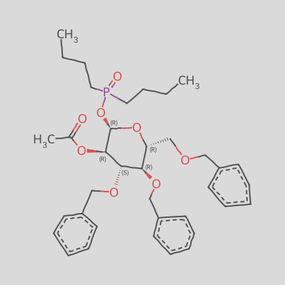 CCCCP(=O)(CCCC)O[C@H]1O[C@H](COCc2ccccc2)[C@@H](OCc2ccccc2)[C@H](OCc2ccccc2)[C@H]1OC(C)=O